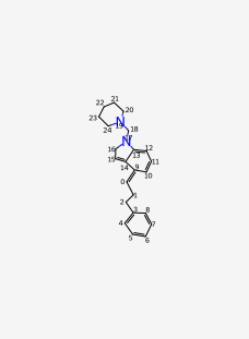 C(CCc1ccccc1)=c1cccc2c1=CCN2CN1CCCCC1